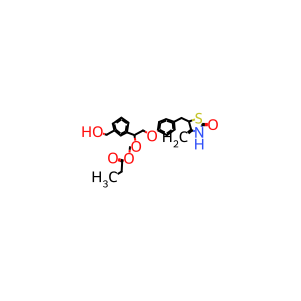 C=C1NC(=O)SC1Cc1ccc(OCC(OCOC(=O)CC)c2cccc(CO)c2)cc1